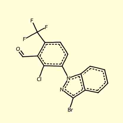 O=Cc1c(C(F)(F)F)ccc(-n2nc(Br)c3ccccc32)c1Cl